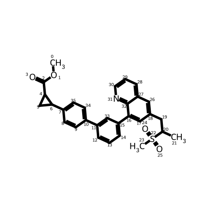 COC(=O)C1CC1c1ccc(-c2cccc(-c3cc(CC(C)S(C)(=O)=O)cc4cccnc34)c2)cc1